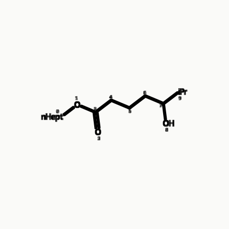 CCCCCCCOC(=O)CCCC(O)C(C)C